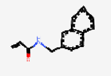 C=CC(=O)NCc1ccc2ccccc2c1